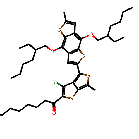 CCCCCCCC(=O)c1sc2c(C)sc(-c3cc4c(OCC(CC)CCCC)c5sc(C)cc5c(OCC(CC)CCCC)c4s3)c2c1F